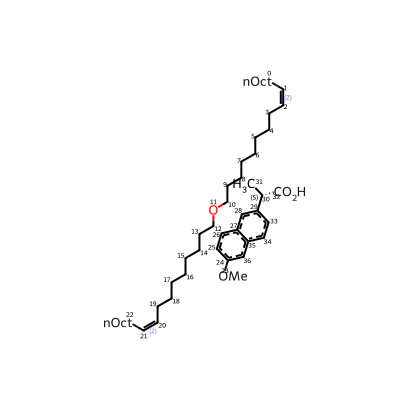 CCCCCCCC/C=C\CCCCCCCCOCCCCCCCC/C=C\CCCCCCCC.COc1ccc2cc([C@H](C)C(=O)O)ccc2c1